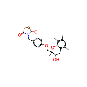 Cc1cc(C)c2c(c1C)OC(C)(COc1ccc(CN3C(=O)CSC3=O)cc1)C(O)C2